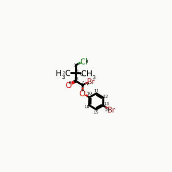 CC(C)(CCl)C(=O)C(Br)Oc1ccc(Br)cc1